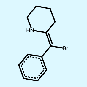 BrC(=C1CCCCN1)c1ccccc1